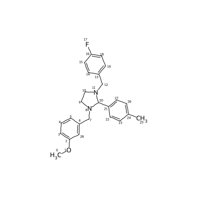 COc1cccc(CN2CCN(Cc3ccc(F)cc3)C2c2ccc(C)cc2)c1